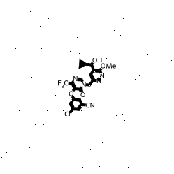 COc1nnc(Cn2cnc(C(F)(F)F)c(Oc3cc(Cl)cc(C#N)c3)c2=O)cc1C(O)C1CC1